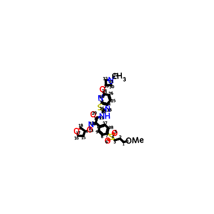 COCCCS(=O)(=O)c1ccc(/C(=N\O[C@@H]2CCOC2)C(=O)Nc2nc3ccc(OC4CN(C)C4)nc3s2)cc1